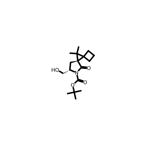 CC(C)(C)OC(=O)N1C(=O)[C@]2(C[C@H]1CO)C(C)(C)C21CCC1